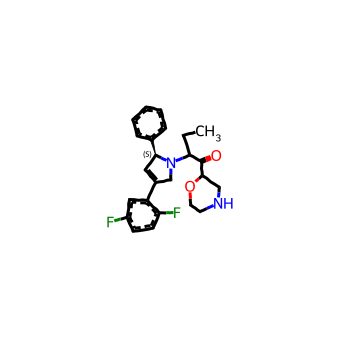 CCC(C(=O)C1CNCCO1)N1CC(c2cc(F)ccc2F)=C[C@H]1c1ccccc1